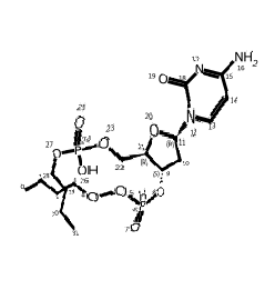 CCCCOO[PH](=O)O[C@H]1C[C@H](n2ccc(N)nc2=O)O[C@@H]1COP(=O)(O)OCCCC